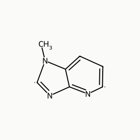 Cn1[c]nc2n[c]ccc21